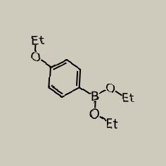 CCOB(OCC)c1ccc(OCC)cc1